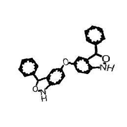 c1ccc(C2ONc3ccc(Oc4ccc5c(c4)C(c4ccccc4)ON5)cc32)cc1